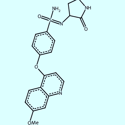 COc1ccc2c(Oc3ccc(S(N)(=O)=NC4CCNC4=O)cc3)ccnc2c1